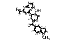 Cn1ccc2cc(C(=O)N3CC[C@@H](O)[C@H](c4cc(C(F)F)nc5ncnn45)C3)ccc21